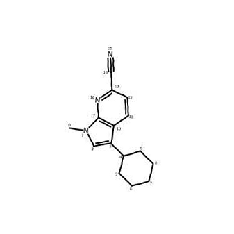 Cn1cc(C2CCCCC2)c2ccc(C#N)nc21